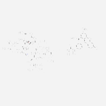 CCC1(C)CCC2C(C)(CC[C@H](O)C2(C)C=O)C1C/C=C1\CCC(O)[C@](CCC(C)(C)C)(C(=O)O[C@@H]2OC(CO)[C@H](NC(=O)CCCCCNC(=S)Nc3ccc(-c4c5ccc(=O)cc-5oc5cc(O)ccc45)c(C(=O)O)c3)C(O)C2O[C@@H]2OC(C)[C@H](O[C@@H]3OC[C@@H](O)C(O)C3O)C(O)C2CO)C1I